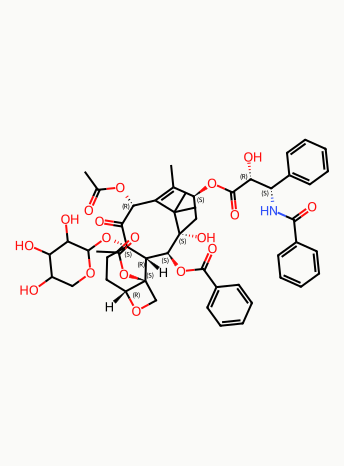 CC(=O)O[C@H]1C(=O)[C@]2(OC3OCC(O)C(O)C3O)CC[C@H]3OC[C@@]3(OC(C)=O)[C@H]2[C@H](OC(=O)c2ccccc2)[C@]2(O)C[C@H](OC(=O)[C@H](O)[C@@H](NC(=O)c3ccccc3)c3ccccc3)C(C)=C1C2(C)C